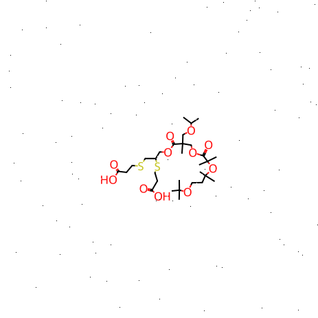 CC(C)OCC(C)(COC(=O)C(C)(C)OC(C)(C)CCOC(C)(C)C)C(=O)OCC(CSCCC(=O)O)SCCC(=O)O